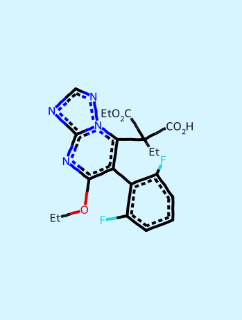 CCOC(=O)C(CC)(C(=O)O)c1c(-c2c(F)cccc2F)c(OCC)nc2ncnn12